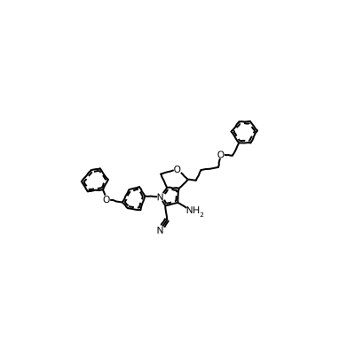 N#Cc1c(N)c2c(n1-c1ccc(Oc3ccccc3)cc1)COC2CCCOCc1ccccc1